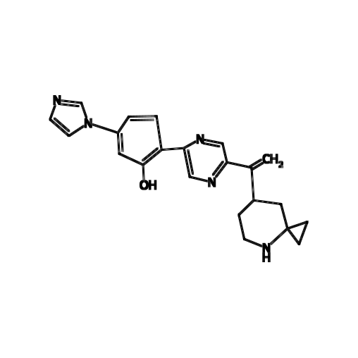 C=C(c1cnc(-c2ccc(-n3ccnc3)cc2O)cn1)C1CCNC2(CC2)C1